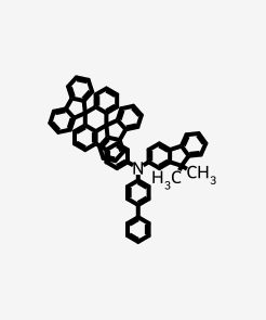 CC1(C)c2ccccc2-c2ccc(N(c3ccc(-c4ccccc4)cc3)c3ccc(-c4cccc5c4C4(c6ccccc6-c6ccccc64)c4ccccc4C54c5ccccc5-c5ccccc54)cc3)cc21